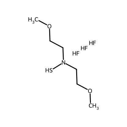 COCCN(S)CCOC.F.F.F